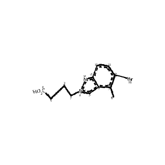 CCOC(=O)CCCn1cc2c(C)c(Br)ccc2n1